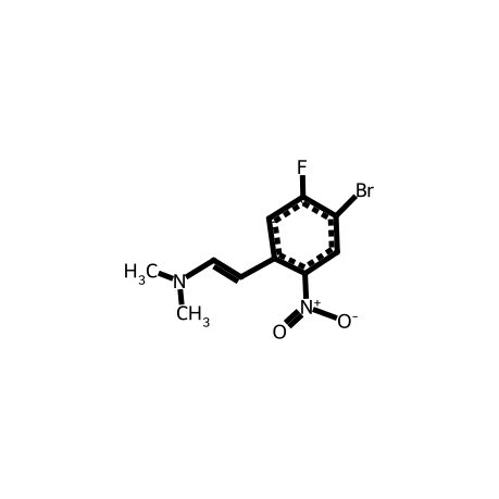 CN(C)/C=C/c1cc(F)c(Br)cc1[N+](=O)[O-]